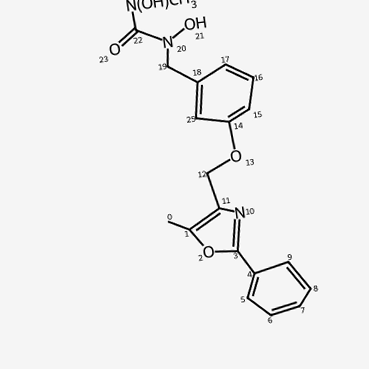 Cc1oc(-c2ccccc2)nc1COc1cccc(CN(O)C(=O)N(C)O)c1